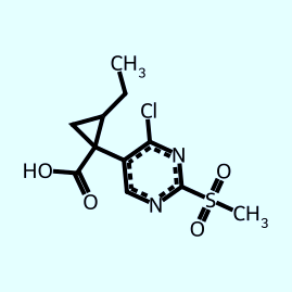 CCC1CC1(C(=O)O)c1cnc(S(C)(=O)=O)nc1Cl